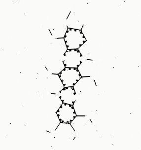 COc1cc2c(sc3c(OC)c4c(sc5c(OC)c(OC)c(C)cc5n4C)c(OC)c3n2C)c(OC)c1OC